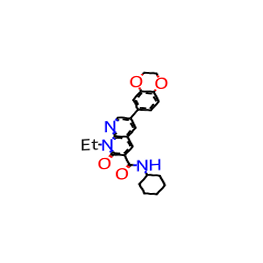 CCn1c(=O)c(C(=O)NC2CCCCC2)cc2cc(-c3ccc4c(c3)OCCO4)cnc21